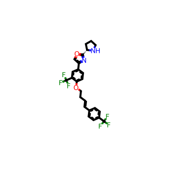 FC(F)(F)c1ccc(/C=C/CCOc2ccc(-c3coc([C@@H]4CCCN4)n3)cc2C(F)(F)F)cc1